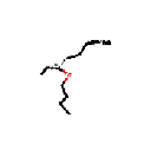 C=C=CCC[C@@H](CC)OCCCC